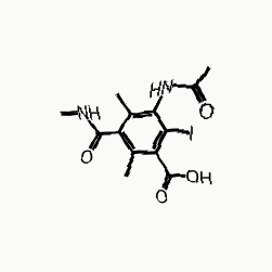 CNC(=O)c1c(C)c(NC(C)=O)c(I)c(C(=O)O)c1C